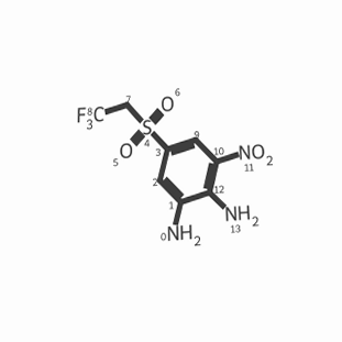 Nc1cc(S(=O)(=O)CC(F)(F)F)cc([N+](=O)[O-])c1N